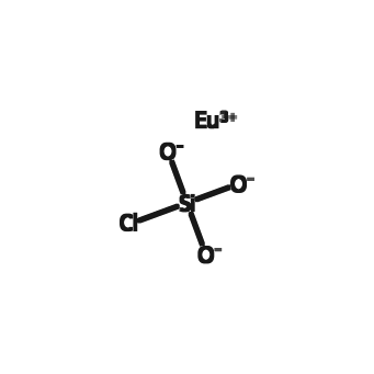 [Eu+3].[O-][Si]([O-])([O-])Cl